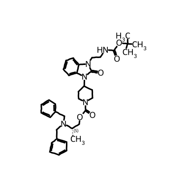 C[C@@H](COC(=O)N1CCC(n2c(=O)n(CCNC(=O)OC(C)(C)C)c3ccccc32)CC1)N(Cc1ccccc1)Cc1ccccc1